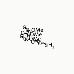 CON=C=O.CON=C=O.CON=C=O.O=C=NOC[SiH3]